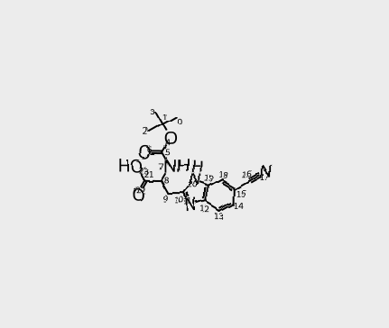 CC(C)(C)OC(=O)NC(Cc1nc2ccc(C#N)cc2[nH]1)C(=O)O